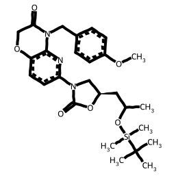 COc1ccc(CN2C(=O)COc3ccc(N4C[C@@H](CC(C)O[Si](C)(C)C(C)(C)C)OC4=O)nc32)cc1